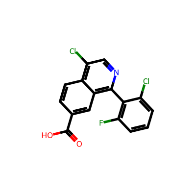 O=C(O)c1ccc2c(Cl)cnc(-c3c(F)cccc3Cl)c2c1